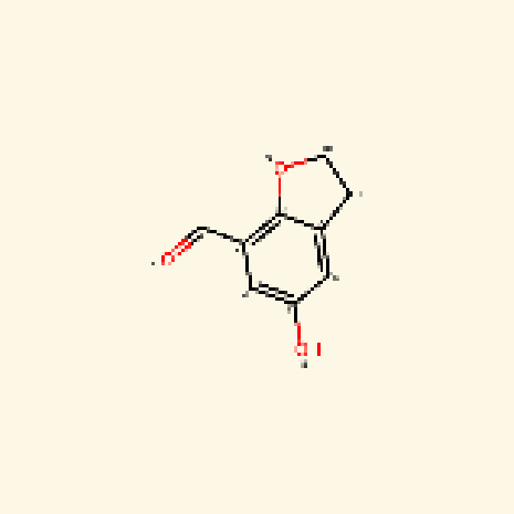 O=Cc1cc(O)cc2c1OCC2